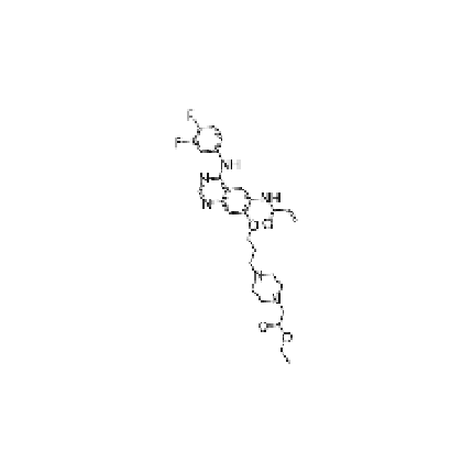 C=CC(=O)Nc1cc2c(Nc3ccc(F)c(F)c3)ncnc2cc1OCCCN1CCN(CC(=O)OCC)CC1